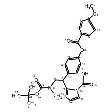 COc1ccc(C(=O)Oc2ccc(C(CN(C)C(=O)OC(C)(C)C)c3nccn3C(=O)O)cc2)cc1